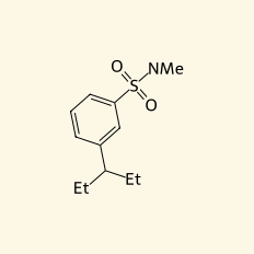 CCC(CC)c1cccc(S(=O)(=O)NC)c1